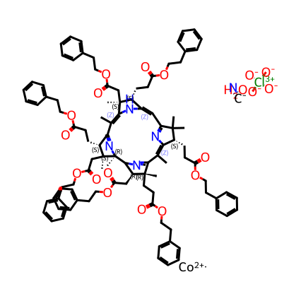 C/C1=C2N=C(/C=C3\N/C(=C(/C)C4=N[C@@](C)(C5N=C1[C@](C)(CCC(=O)OCCc1ccccc1)[C@H]5CC(=O)OCCc1ccccc1)[C@@](C)(CC(=O)OCCc1ccccc1)[C@@H]4CCC(=O)OCCc1ccccc1)[C@@](C)(CC(=O)OCCc1ccccc1)[C@@H]3CCC(=O)OCCc1ccccc1)C(C)(C)[C@@H]/2CCC(=O)OCCc1ccccc1.O.[C-]#N.[Co+2].[O-][Cl+3]([O-])([O-])[O-]